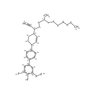 C#CC(CCC(C)CCCCCCC)C1C=CC(c2ccc(-c3cc(F)c(F)c(CF)c3)cc2)CC1